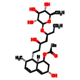 CC[C@H](C)C(=O)O[C@H]1C[C@H](O)C=C2C=C[C@H](C)[C@H](CC[C@@H](O)C[C@H](CC(=O)O)OC3O[C@H](C(=O)O)[C@@H](O)[C@H](O)[C@H]3O)[C@H]21